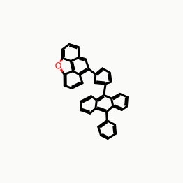 c1ccc(-c2c3ccccc3c(-c3cccc(-c4cc5cccc6oc7cccc4c7c56)c3)c3ccccc23)cc1